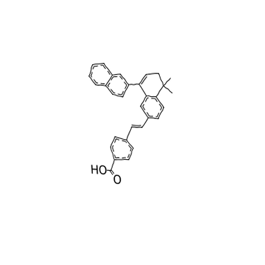 CC1(C)CC=C(c2ccc3ccccc3c2)c2cc(C=Cc3ccc(C(=O)O)cc3)ccc21